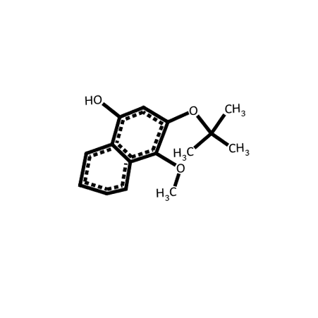 COc1c(OC(C)(C)C)cc(O)c2ccccc12